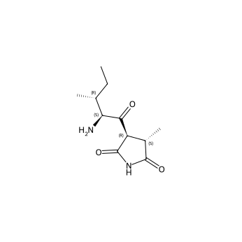 CC[C@@H](C)[C@H](N)C(=O)[C@@H]1C(=O)NC(=O)[C@H]1C